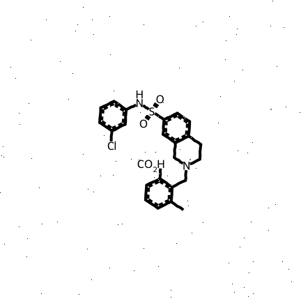 Cc1cccc(C(=O)O)c1CN1CCc2ccc(S(=O)(=O)Nc3cccc(Cl)c3)cc2C1